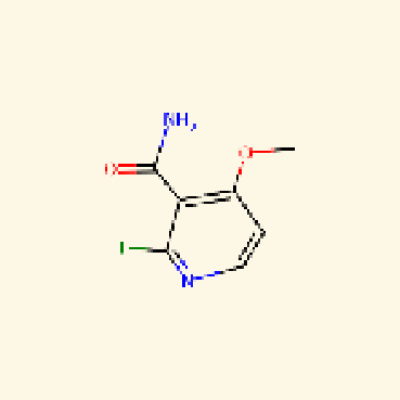 COc1ccnc(F)c1C(N)=O